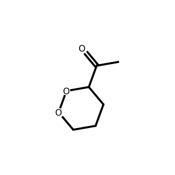 CC(=O)C1CCCOO1